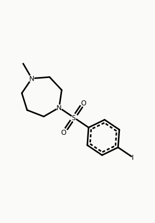 CN1CCCN(S(=O)(=O)c2ccc(I)cc2)CC1